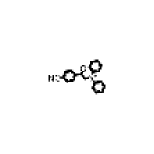 N#Cc1ccc(C(=O)C[S+](c2ccccc2)c2ccccc2)cc1